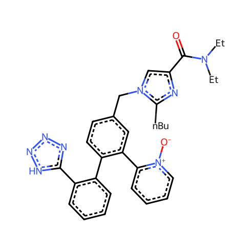 CCCCc1nc(C(=O)N(CC)CC)cn1Cc1ccc(-c2ccccc2-c2nnn[nH]2)c(-c2cccc[n+]2[O-])c1